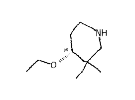 CCO[C@@H]1CCNCC1(C)C